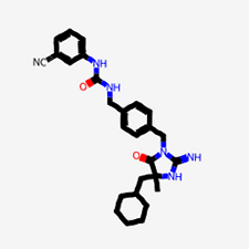 CC1(CC2CCCCC2)NC(=N)N(Cc2ccc(CNC(=O)Nc3cccc(C#N)c3)cc2)C1=O